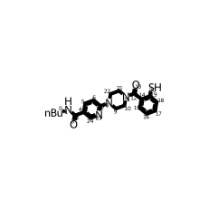 CCCCNC(=O)c1ccc(N2CCN(C(=O)c3ccccc3S)CC2)nc1